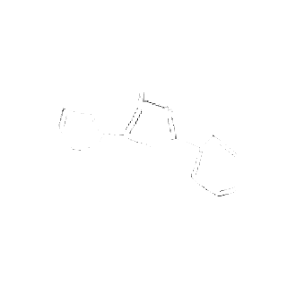 [c]1ccc(-c2nnc(-c3ccccc3)s2)cc1